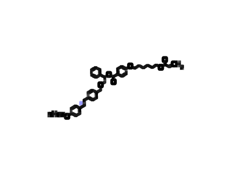 C=CC(=O)OCCCCCCOc1ccc(C(=O)OC(COCc2ccc(/C=C/c3ccc(OCCCCCC)cc3)cc2)c2ccccc2)cc1